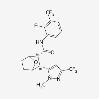 Cn1nc(C(F)(F)F)cc1[C@@H]1C2CCC(O2)[C@@H]1C(=O)Nc1cccc(C(F)(F)F)c1F